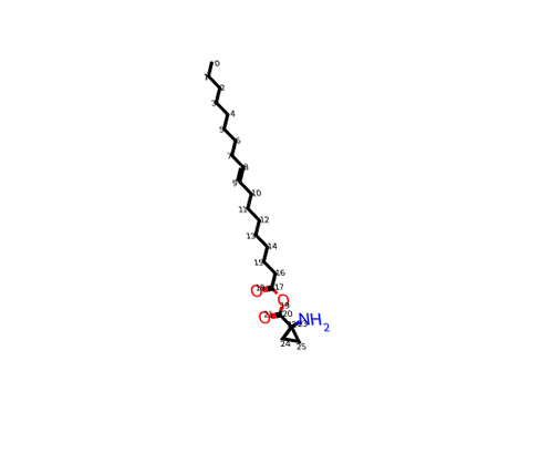 CCCCCCCCC=CCCCCCCCC(=O)OC(=O)C1(N)CC1